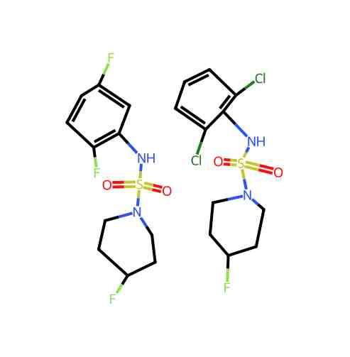 O=S(=O)(Nc1c(Cl)cccc1Cl)N1CCC(F)CC1.O=S(=O)(Nc1cc(F)ccc1F)N1CCC(F)CC1